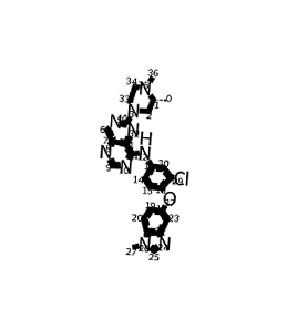 C[C@@H]1CN(c2ncc3ncnc(Nc4ccc(Oc5ccc6c(c5)ncn6C)c(Cl)c4)c3n2)CCN1C